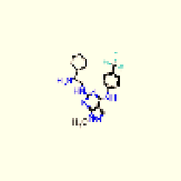 Cn1ncc2c(Nc3ccc(C(F)(F)F)cc3)nc(NCC(N)C3CCCCC3)nc21